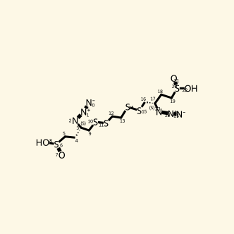 [N-]=[N+]=N[C@@H](CCS(=O)O)CSSCCSSC[C@H](CCS(=O)O)N=[N+]=[N-]